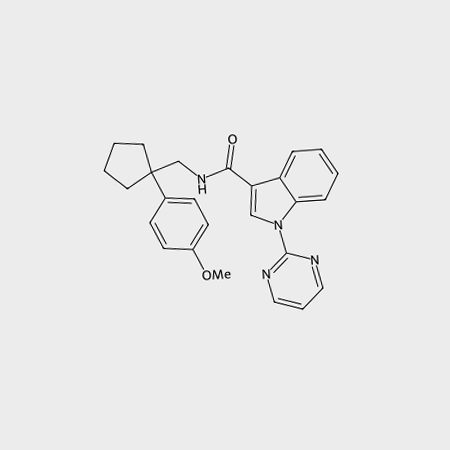 COc1ccc(C2(CNC(=O)c3cn(-c4ncccn4)c4ccccc34)CCCC2)cc1